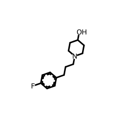 OC1CCN(CCCc2ccc(F)cc2)CC1